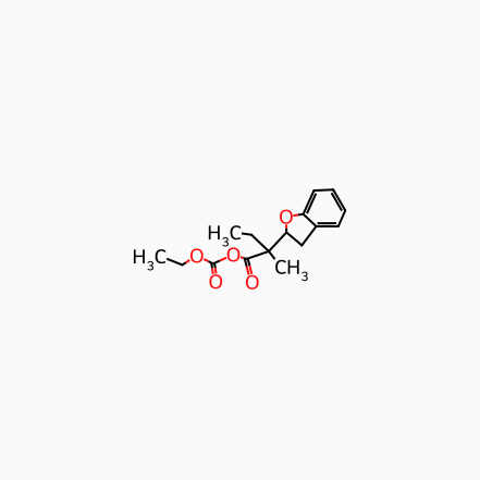 CCOC(=O)OC(=O)C(C)(CC)C1Cc2ccccc2O1